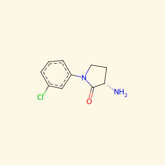 N[C@H]1CCN(c2cccc(Cl)c2)C1=O